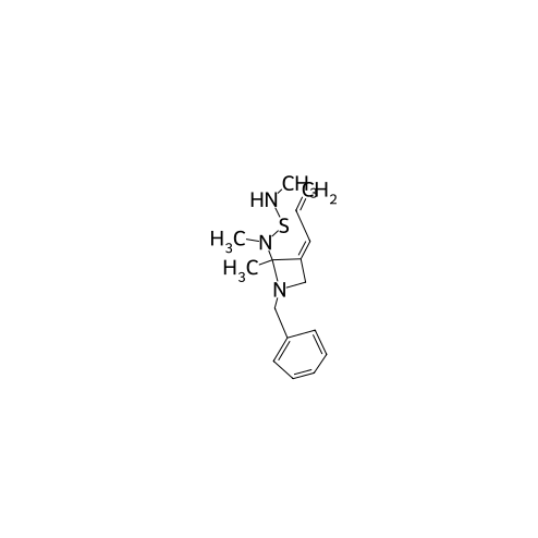 C=C/C=C1/CN(Cc2ccccc2)C1(C)N(C)SNC